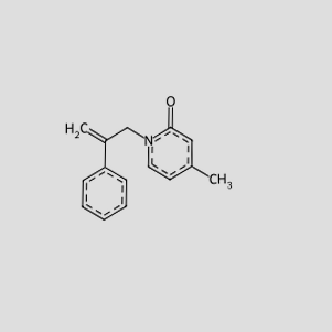 C=C(Cn1ccc(C)cc1=O)c1ccccc1